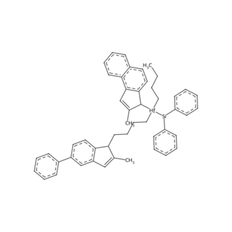 CCC[CH2][Hf]([CH2]CCCC1C(C)=Cc2cc(-c3ccccc3)ccc21)([CH]1C(C)=Cc2c1ccc1ccccc21)[Si](c1ccccc1)c1ccccc1